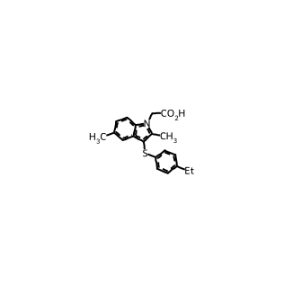 CCc1ccc(Sc2c(C)n(CC(=O)O)c3ccc(C)cc23)cc1